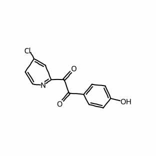 O=C(C(=O)c1cc(Cl)ccn1)c1ccc(O)cc1